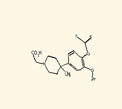 CC(C)Oc1cc(C2(C#N)CCN(CC(=O)O)CC2)ccc1OC(F)F